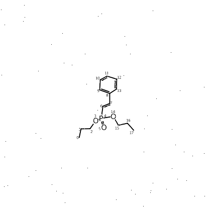 CCCOP(=O)(C=Cc1ccccc1)OCCC